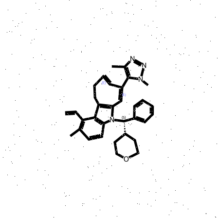 C=Cc1c(C)ccc2c1c1c(n2[C@H](c2ccccc2)C2CCOCC2)/C=C(c2c(C)nnn2C)\C=C\CC1